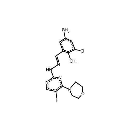 Bc1cc(Cl)c(C)c(/C=N/Nc2ncc(F)c(N3CCOCC3)n2)c1